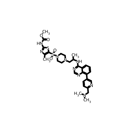 COC(=O)Nc1nc(C)c(S(=O)(=O)N2CCN(CC(C)Nc3ncnc4c(-c5ccc(CN(C)C)nc5)cccc34)CC2)s1